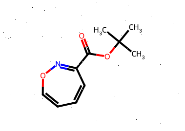 CC(C)(C)OC(=O)C1=NOC=CC=C1